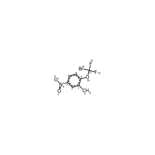 Cc1cc([N+](=O)[O-])ccc1OC(F)(F)Br